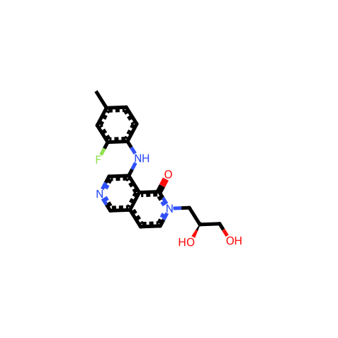 Cc1ccc(Nc2cncc3ccn(C[C@H](O)CO)c(=O)c23)c(F)c1